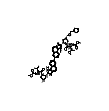 COC(=O)N[C@H](C(=O)N1C[C@@H](C)C[C@H]1c1nc2ccc3cc(-c4ccc5c(ccc6nc([C@@H]7C[C@H](COCC8CCCC8)CN7C(=O)[C@@H](NC(=O)OC)[C@@H](C)OC)[nH]c65)c4)ccc3c2[nH]1)C(C)C